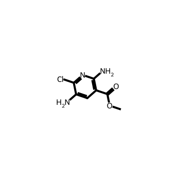 COC(=O)c1cc(N)c(Cl)nc1N